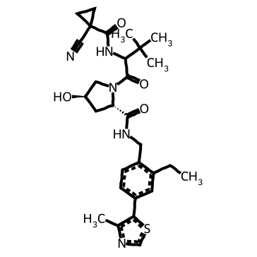 CCc1cc(-c2scnc2C)ccc1CNC(=O)[C@@H]1C[C@@H](O)CN1C(=O)C(NC(=O)C1(C#N)CC1)C(C)(C)C